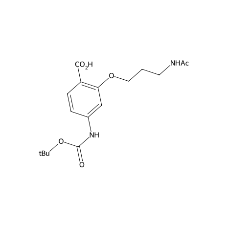 CC(=O)NCCCOc1cc(NC(=O)OC(C)(C)C)ccc1C(=O)O